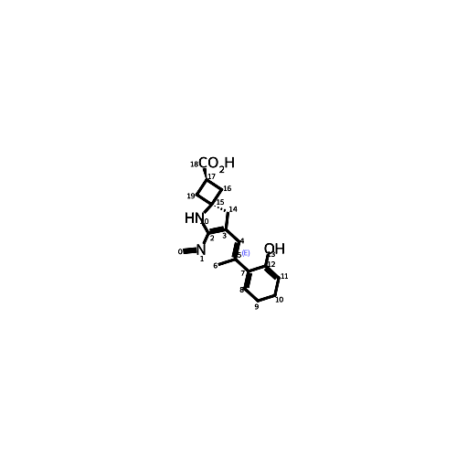 C=NC1=C(/C=C(\C)C2=CCCC=C2O)C[C@]2(C[C@H](C(=O)O)C2)N1